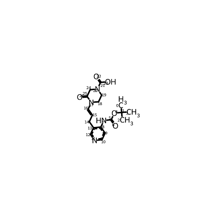 CC(C)(C)OC(=O)Nc1ccncc1CC=CN1CCN(C(=O)O)CC1=O